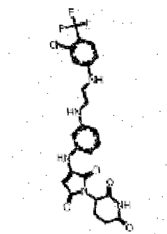 O=C1CCC(N2C(=O)C=C(Nc3cccc(NCCNc4ccc(C(F)(F)F)c(Cl)c4)c3)C2=O)C(=O)N1